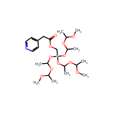 COC(C)OC(C)O[Si](COC(=O)Cc1ccncc1)(OC(C)OC(C)OC)OC(C)OC(C)OC